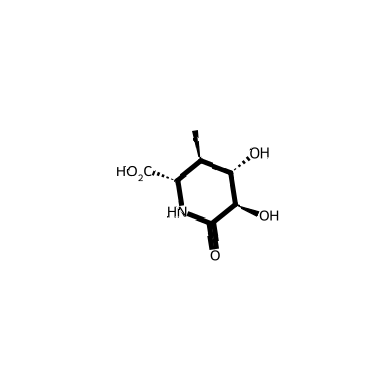 C[C@H]1[C@H](O)[C@@H](O)C(=O)N[C@@H]1C(=O)O